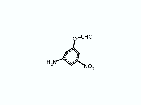 Nc1cc(OC=O)cc([N+](=O)[O-])c1